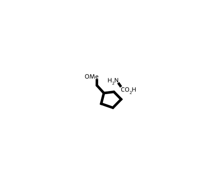 COCC1CCCC1.NC(=O)O